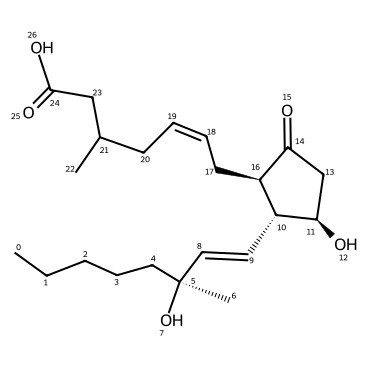 CCCCC[C@](C)(O)/C=C/[C@H]1[C@H](O)CC(=O)[C@@H]1C/C=C\CC(C)CC(=O)O